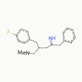 CNCC(CC(=N)Cc1ccccc1)Cc1ccc(F)cc1